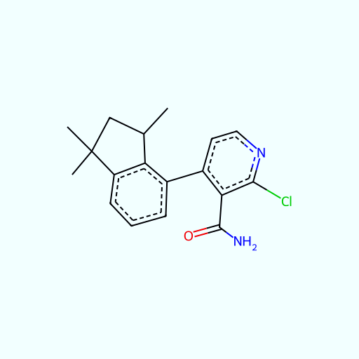 CC1CC(C)(C)c2cccc(-c3ccnc(Cl)c3C(N)=O)c21